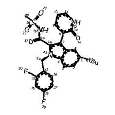 CC(C)(C)c1ccc2c(c1)c(-c1ccc[nH]c1=O)c(C(=O)NS(C)(=O)=O)n2Cc1ccc(F)cc1F